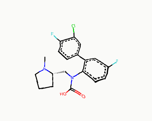 CN1CCC[C@H]1CN(C(=O)O)c1ccc(F)cc1-c1ccc(F)c(Cl)c1